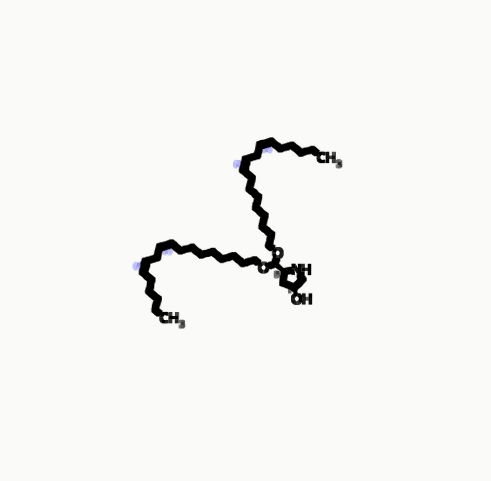 CCCCC/C=C\C/C=C\CCCCCCCCOC(OCCCCCCCC/C=C\C/C=C\CCCCC)[C@@H]1C[C@@H](O)CN1